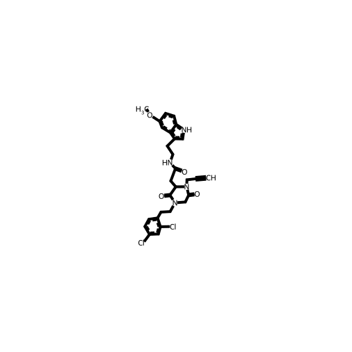 C#CCN1C(=O)CN(CCc2ccc(Cl)cc2Cl)C(=O)C1CC(=O)NCCc1c[nH]c2ccc(OC)cc12